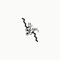 CCCCCC(N)OS(=O)(=O)OC(N)CCCCC